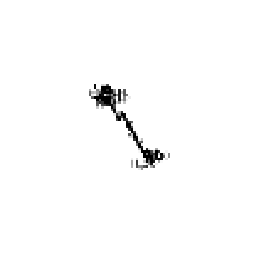 COc1cc(Nc2c(C#N)cnc3cc(OCCCN4CCN(CCOCCOCCOCCCc5ccc6c(c5)n(C)c(=O)n6C5CCC(=O)NC5=O)CC4)c(OC)cc23)c(Cl)cc1Cl